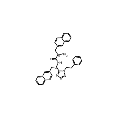 N[C@H](Cc1ccc2ccccc2c1)C(=O)N[C@H](Cc1ccc2ccccc2c1)c1nnnn1CCc1ccccc1